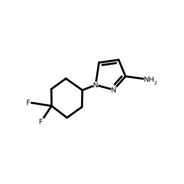 Nc1ccn(C2CCC(F)(F)CC2)n1